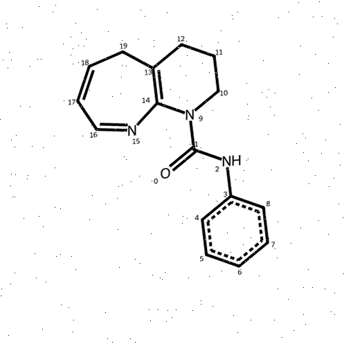 O=C(Nc1ccccc1)N1CCCC2=C1N=CC=CC2